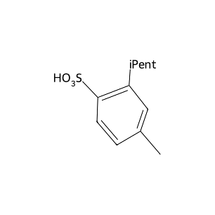 CCCC(C)c1cc(C)ccc1S(=O)(=O)O